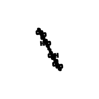 C=CC(=O)OCC(=O)OCCONC(=O)CCCCCCC(=O)NOCCOC(=O)COC(=O)C=C